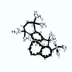 CCS(=O)(=O)c1ccc2ccccc2c1C(C)(O)c1ccc2c(c1)C(C)(C)CCC2(C)C